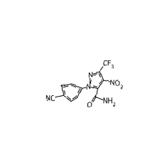 N#Cc1ccc(-n2nc(C(F)(F)F)c([N+](=O)[O-])c2C(N)=O)cc1